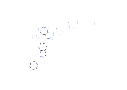 Nc1ncnc2c1c(-c1ccc3c(ccn3Cc3ccccc3Cl)c1)nn2C1CCC(N2CCN(CCCO)CC2)CC1